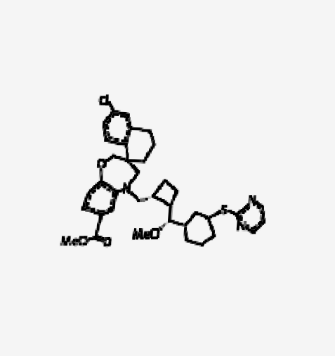 COC(=O)c1ccc2c(c1)N(C[C@@H]1CC[C@H]1[C@@H](OC)[C@@H]1CCC[C@H](Sc3ncccn3)C1)C[C@@]1(CCCc3cc(Cl)ccc31)CO2